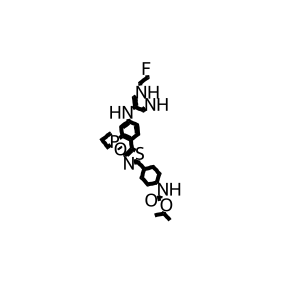 CC(C)OC(=O)NC1CCC(c2ncc(-c3ccc(N/C(C=N)=C/NCCF)cc3P3(=O)CCC3)s2)CC1